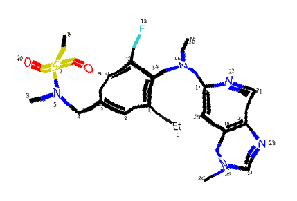 CCc1cc(CN(C)S(C)(=O)=O)cc(F)c1N(C)c1cc2c(cn1)ncn2C